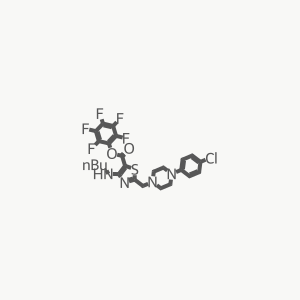 CCCCNc1nc(CN2CCN(c3ccc(Cl)cc3)CC2)sc1C(=O)Oc1c(F)c(F)c(F)c(F)c1F